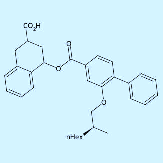 CCCCCC[C@H](C)COc1cc(C(=O)OC2CC(C(=O)O)Cc3ccccc32)ccc1-c1ccccc1